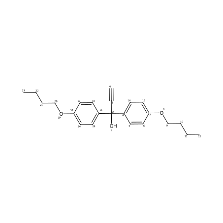 C#CC(O)(c1ccc(OCCCC)cc1)c1ccc(OCCCC)cc1